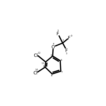 FC(F)(F)Oc1cc[c]c(Cl)c1Cl